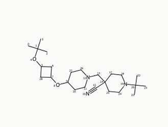 CC(C)(C)OC1CC(OC2CCN(CC3(C#N)CCN(C(C)(C)C)CC3)CC2)C1